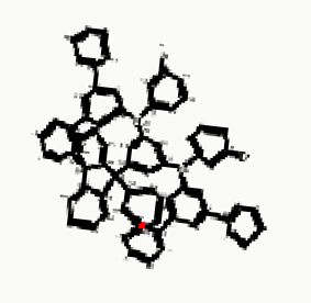 Brc1cccc(N(c2cc(-c3ccccc3)cc(-c3ccccc3)c2)c2cc(N(c3cccc(Br)c3)c3cc(-c4ccccc4)cc(-c4ccccc4)c3)cc(C3(c4ccccc4)c4ccccc4-c4ccccc43)c2)c1